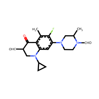 Cc1c(F)c(N2CCN(C=O)C(C)C2)cc2c1C(=O)C(C=O)CN2C1CC1